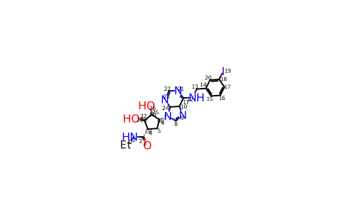 CCNC(=O)[C@H]1C[C@@H](N2C=NC3C(NCc4cccc(I)c4)=NC=NC32)[C@H](O)[C@@H]1O